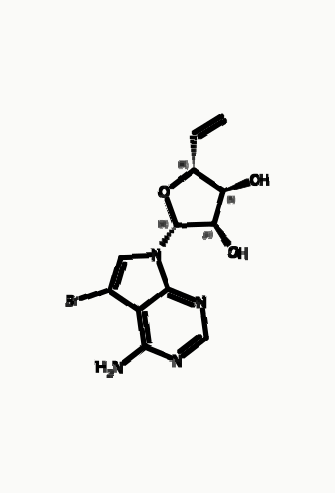 C=C[C@H]1O[C@@H](n2cc(Br)c3c(N)ncnc32)[C@H](O)[C@@H]1O